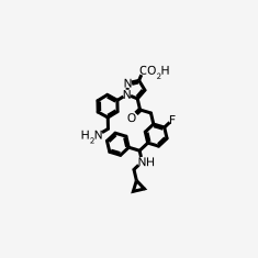 NCc1cccc(-n2nc(C(=O)O)cc2C(=O)Cc2cc(C(NCC3CC3)c3ccccc3)ccc2F)c1